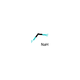 FCF.[NaH]